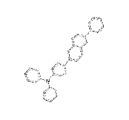 c1ccc(-c2ccc3cc(-c4ccc(N(c5ccccc5)c5ccccc5)cc4)ccc3c2)cc1